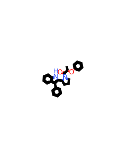 CC(Oc1ccccc1)C(=O)N1CCCC1c1[nH]c2ccccc2c1-c1ccccc1